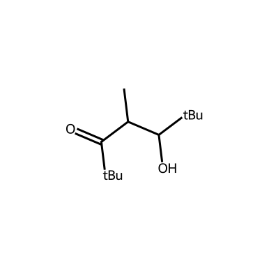 CC(C(=O)C(C)(C)C)C(O)C(C)(C)C